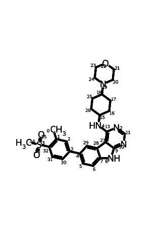 Cc1cc(-c2ccc3[nH]c4ncnc(NC5CCC(N6CCOCC6)CC5)c4c3c2)ccc1S(C)(=O)=O